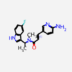 CC(c1c[nH]c2ccc(F)cc12)N(C)C(=O)/C=C/c1ccc(N)nc1